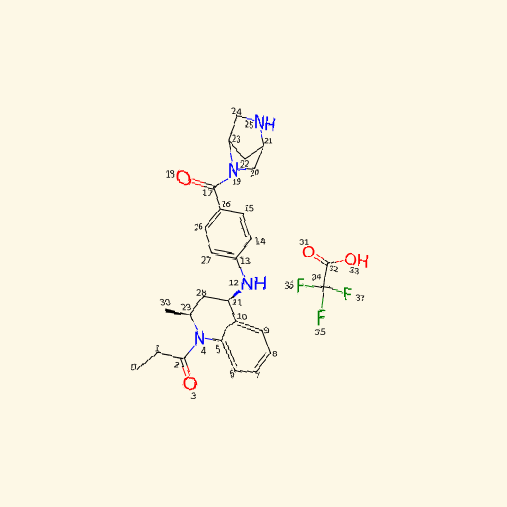 CCC(=O)N1c2ccccc2[C@H](Nc2ccc(C(=O)N3CC4CC3CN4)cc2)C[C@@H]1C.O=C(O)C(F)(F)F